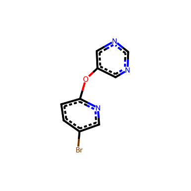 Brc1ccc(Oc2cncnc2)nc1